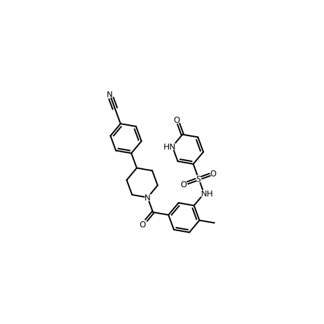 Cc1ccc(C(=O)N2CCC(c3ccc(C#N)cc3)CC2)cc1NS(=O)(=O)c1ccc(=O)[nH]c1